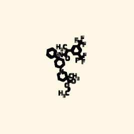 CCOC(=O)[C@]1(C)CCCN([C@H]2CC[C@](NC(=O)[C@H](C)c3cc(C(F)(F)F)cc(C(F)(F)F)c3)(c3ccccc3)CC2)C1